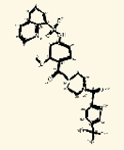 COC1CC(NS(=O)(=O)c2cccc3cccnc23)=CC=C1C(=O)N1CCN(C(=O)c2ccc(C(F)(F)F)cn2)CC1